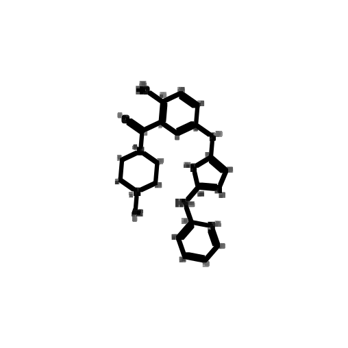 CC(=O)N1CCN(C(=O)c2cc(Sc3cnc(Nc4ccccn4)s3)ccc2O)CC1